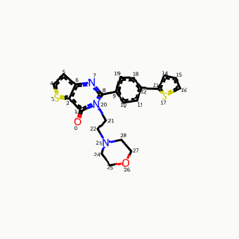 O=c1c2sccc2nc(-c2ccc(-c3cccs3)cc2)n1CCN1CCOCC1